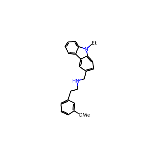 CCn1c2ccccc2c2cc(CNCCc3cccc(OC)c3)ccc21